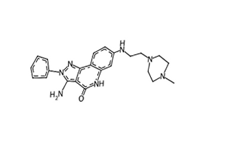 CN1CCN(CCNc2ccc3c(c2)[nH]c(=O)c2c(N)n(-c4ccccc4)nc23)CC1